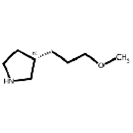 COCC[CH][C@H]1CCNC1